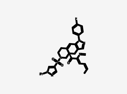 C=N/C(=C\C=C/C)C(=O)[C@]12Cc3cnn(-c4ccc(F)cc4)c3C=C1CCN(S(=O)(=O)c1cnn(C(C)C)c1)C2